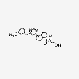 Cc1cccc(Cc2cc(N3CCc4c(C(=O)NCCO)cccc43)ncn2)c1